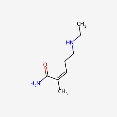 CCNCCC=C(C)C(N)=O